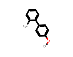 CCOc1ccc(-c2cc[c]cc2C(F)(F)F)cc1